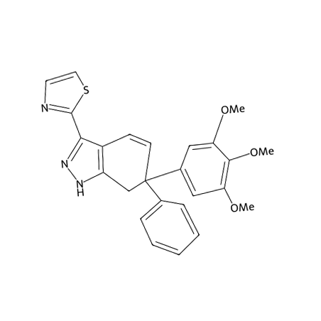 COc1cc(C2(c3ccccc3)C=Cc3c(-c4nccs4)n[nH]c3C2)cc(OC)c1OC